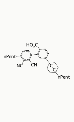 CCCCCc1ccc(-c2cc(C34CCC(CCCCC)(CC3)CC4)ccc2C(=O)O)c(C#N)c1C#N